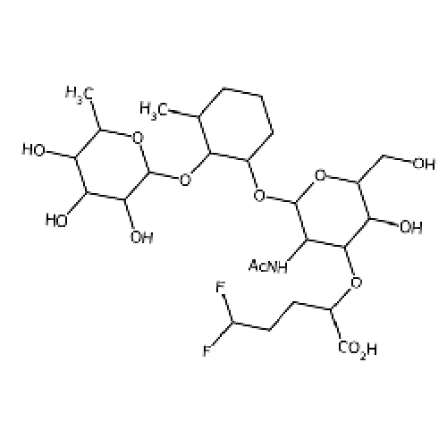 CC(=O)NC1C(OC2CCCC(C)C2OC2OC(C)C(O)C(O)C2O)OC(CO)C(O)C1OC(CCC(F)F)C(=O)O